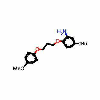 COc1ccc(OCCCOc2ccc(C(C)(C)C)cc2N)cc1